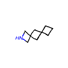 C1CC2(C1)CC1(CNC1)C2